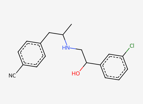 CC(Cc1ccc(C#N)cc1)NCC(O)c1cccc(Cl)c1